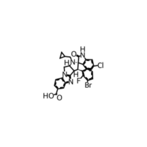 O=C(O)c1ccc2c(c1)nc1n2C[C@H]2[C@@H]1[C@H](c1cccc(Br)c1F)[C@]1(C(=O)Nc3cc(Cl)ccc31)N2CC1CC1